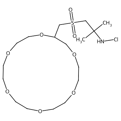 CC(C)(CS(=O)(=O)CC1COCCOCCOCCOCCOCCO1)NCl